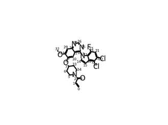 C=CC(=O)N1CCC(Oc2cc3c(-n4ccc5c(Cl)c(Cl)cc(F)c54)ncnc3cc2OC)CC1